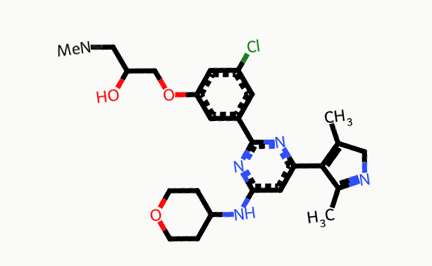 CNCC(O)COc1cc(Cl)cc(-c2nc(NC3CCOCC3)cc(C3=C(C)CN=C3C)n2)c1